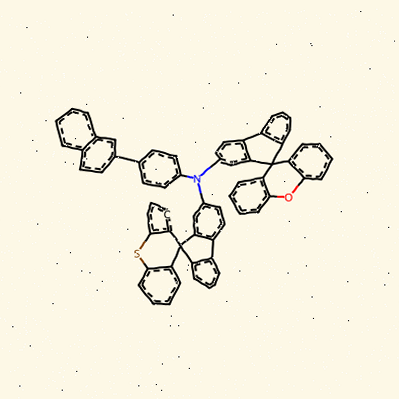 c1ccc2c(c1)Oc1ccccc1C21c2ccccc2-c2ccc(N(c3ccc(-c4ccc5ccccc5c4)cc3)c3ccc4c(c3)C3(c5ccccc5Sc5ccccc53)c3ccccc3-4)cc21